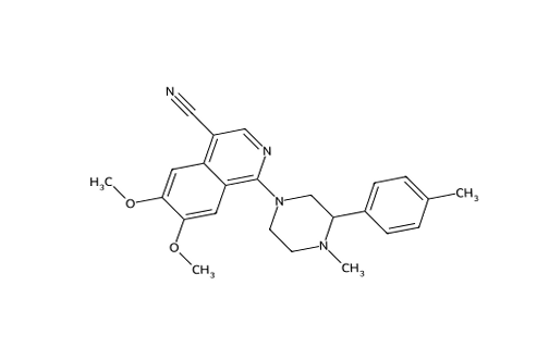 COc1cc2c(C#N)cnc(N3CCN(C)C(c4ccc(C)cc4)C3)c2cc1OC